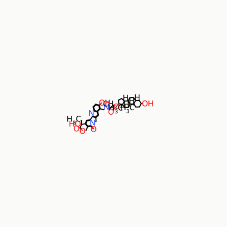 CC[C@@]1(O)C(=O)OCc2c1cc1n(c2=O)Cc2cc3c(CN(C)C(=O)CO[C@H]4CC[C@H]5[C@@H]6CC[C@H]7CC(O)CC[C@]7(C)[C@H]6CC[C@]45C)c(O)ccc3nc2-1